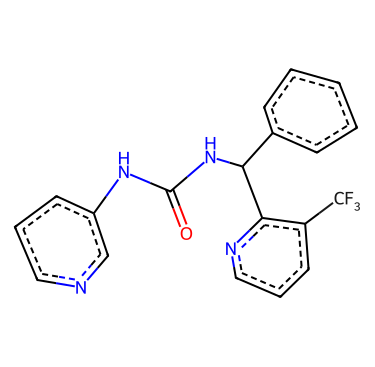 O=C(Nc1cccnc1)NC(c1ccccc1)c1ncccc1C(F)(F)F